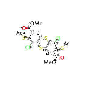 COC(=O)c1cc2c(c(Cl)c1SC(C)=O)Sc1cc(C(=O)OC)c(SC(C)=O)c(Cl)c1S2